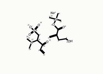 C=C(CCO)C(=O)O[Si](C)(C)C.C=CC(=O)C(CS(=O)(=O)[O-])N(C)C.[Na+]